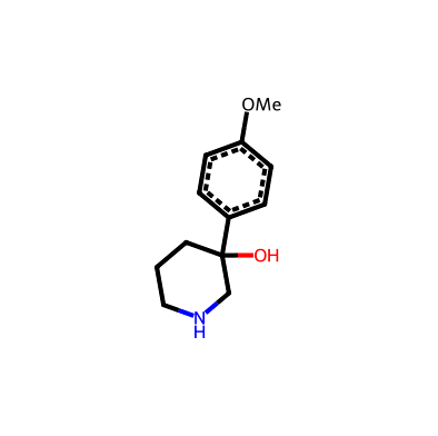 COc1ccc(C2(O)CCCNC2)cc1